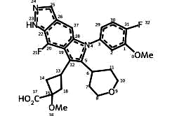 COc1cc(-n2c(C3CCOCC3)c(C3CC(OC)(C(=O)O)C3)c3c(F)c4[nH]ncc4cc32)ccc1F